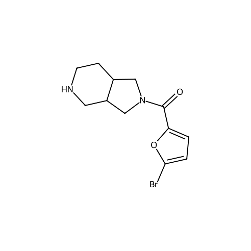 O=C(c1ccc(Br)o1)N1CC2CCNCC2C1